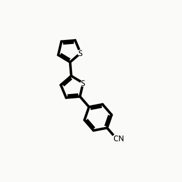 N#Cc1ccc(-c2ccc(-c3cccs3)s2)cc1